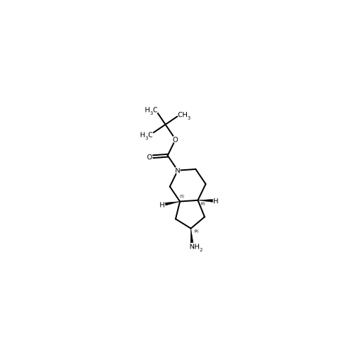 CC(C)(C)OC(=O)N1CC[C@@H]2C[C@@H](N)C[C@@H]2C1